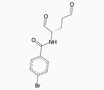 O=CCC[C@@H](C=O)NC(=O)c1ccc(Br)cc1